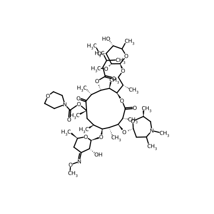 CO/N=C1\C[C@@H](C)O[C@@H](O[C@@H]2[C@@H](C)[C@H](O[C@H]3CC(C)N(C)C[C@H](C)O3)[C@@H](C)C(=O)O[C@H]([C@@H](C)CO[C@@H]3OC(C)[C@@H](O)[C@@H](OC)[C@H]3OC)[C@H](C)[C@@H](OC(=O)CC(C)C)[C@@H](C)C(=O)[C@@](C)(OC(=O)N3CCOCC3)C[C@@H]2C)[C@@H]1O